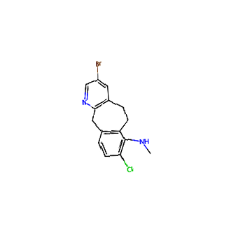 CNc1c(Cl)ccc2c1CCc1cc(Br)cnc1C2